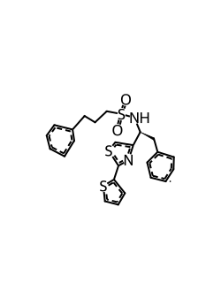 O=S(=O)(CCCc1ccccc1)N[C@@H](Cc1cc[c]cc1)c1csc(-c2cccs2)n1